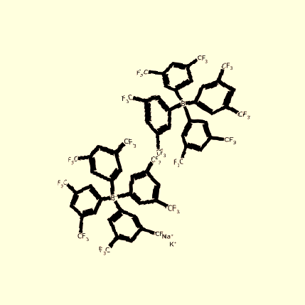 FC(F)(F)c1cc([B-](c2cc(C(F)(F)F)cc(C(F)(F)F)c2)(c2cc(C(F)(F)F)cc(C(F)(F)F)c2)c2cc(C(F)(F)F)cc(C(F)(F)F)c2)cc(C(F)(F)F)c1.FC(F)(F)c1cc([B-](c2cc(C(F)(F)F)cc(C(F)(F)F)c2)(c2cc(C(F)(F)F)cc(C(F)(F)F)c2)c2cc(C(F)(F)F)cc(C(F)(F)F)c2)cc(C(F)(F)F)c1.[K+].[Na+]